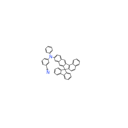 N#Cc1cccc(N(c2ccccc2)c2ccc3cc4c(cc3c2)C2(c3ccccc3-c3ccccc32)c2ccc3ccccc3c2-4)c1